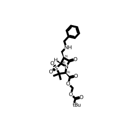 CC(C)(C)C(=O)OCOC(=O)[C@@H]1N2C(=O)[C@H](CNCc3ccccc3)[C@H]2S(=O)(=O)C1(C)C